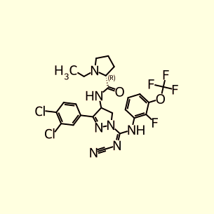 CCN1CCC[C@@H]1C(=O)NC1CN(C(=NC#N)Nc2cccc(OC(F)(F)F)c2F)N=C1c1ccc(Cl)c(Cl)c1